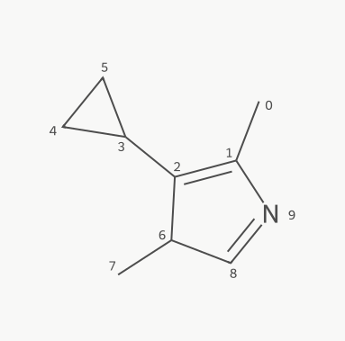 CC1=C(C2CC2)C(C)C=N1